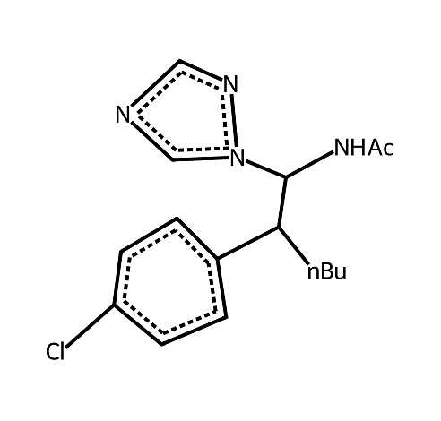 CCCCC(c1ccc(Cl)cc1)C(NC(C)=O)n1cncn1